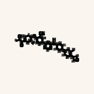 CC(O)C(=O)N1CC[C@H](Oc2ccc(-c3ncnc(Nc4ccc(N5CCN(C6COC6)C(C)C5)cc4)n3)cc2C#N)[C@H](F)C1